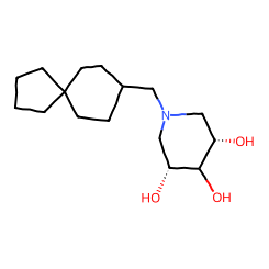 OC1[C@H](O)CN(CC2CCC3(CCCC3)CC2)C[C@@H]1O